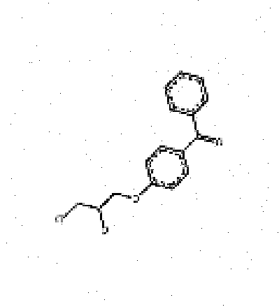 O=C(c1ccccc1)c1ccc(OCC(O)CCl)cc1